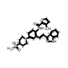 Cc1ccsc1C(=O)Nc1ccc(N2CCC(S(C)(=O)=O)CC2)cc1/C=C/c1n[nH]c2ccccc12